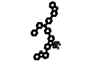 CC1(C)c2ccc(-c3ccc(N(c4ccc(-c5ccc6sc7ccccc7c6c5)cc4)c4cccc(-c5ccccc5)c4)cc3)cc2-c2ccc(-c3cccc4c3oc3ccccc34)cc21